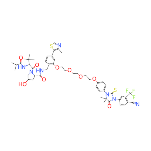 Cc1ncsc1-c1ccc(CNC(=O)[C@@H]2C[C@@H](O)CN2C(=O)[C@@H](NC(=O)C(C)C)C(C)(C)C)c(OCCOCCOCCOc2ccc(N3C(=S)N(c4ccc(C#N)c(C(F)(F)F)c4)C(=O)C3(C)C)cc2)c1